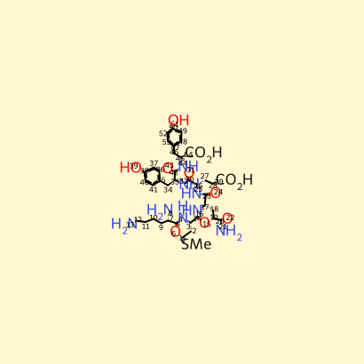 CSCC[C@H](NC(=O)[C@@H](N)CCCCN)C(=O)N[C@@H](CCC(N)=O)C(=O)N[C@@H](CCC(=O)O)C(=O)N[C@@H](Cc1ccc(O)cc1)C(=O)N[C@@H](Cc1ccc(O)cc1)C(=O)O